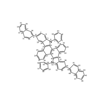 c1ccc(-n2c3ccc(-c4ccc5ccccc5c4)cc3c3c4ccccc4c4c(c5ccccc5c5c6cc(-c7ccc8ccccc8c7)ccc6n(-c6ccccc6)c54)c32)cc1